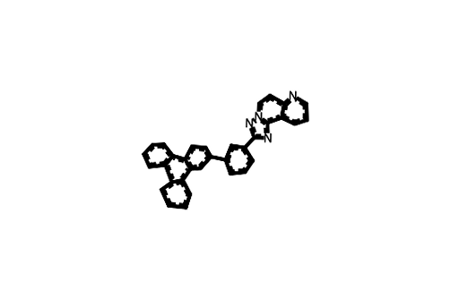 c1cc(-c2ccc3c4ccccc4c4ccccc4c3c2)cc(-c2nc3c4cccnc4ccn3n2)c1